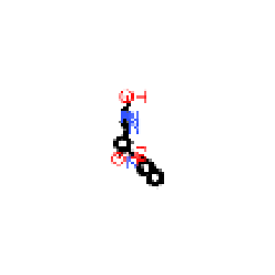 OCCn1cc(-c2ccc(O)c(-c3nc4cc5ccccc5cc4o3)c2)nn1